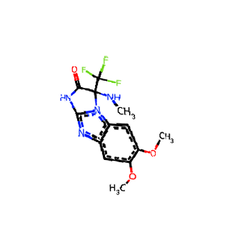 CNC1(C(F)(F)F)C(=O)Nc2nc3cc(OC)c(OC)cc3n21